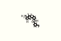 Cc1ccc(NC(=O)c2cccc(CF)c2)cc1-c1nc2[nH]nc(N)c2c(C)c1C